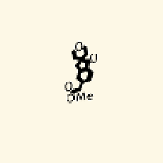 COC(=O)Cc1ccc2c(c1)CC1(CCOCC1)C2=O